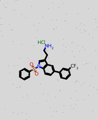 Cl.NCCc1cn(S(=O)(=O)c2ccccc2)c2ccc(-c3cccc(C(F)(F)F)c3)cc12